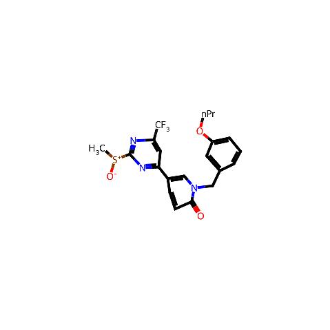 CCCOc1cccc(Cn2cc(-c3cc(C(F)(F)F)nc([S+](C)[O-])n3)ccc2=O)c1